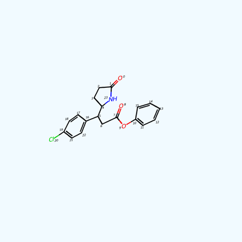 O=C1CCC(C(CC(=O)Oc2ccccc2)c2ccc(Cl)cc2)N1